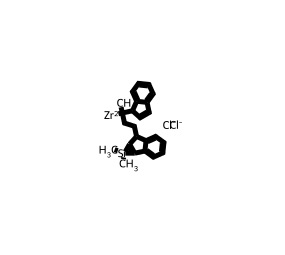 C[C]([Zr+2])(CCC1C2=C(c3ccccc31)[Si]2(C)C)C1C=Cc2ccccc21.[Cl-].[Cl-]